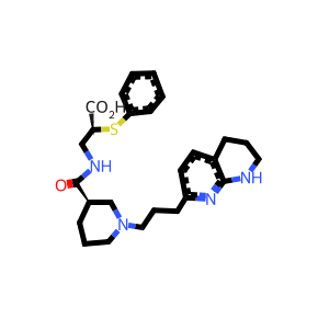 O=C(NC[C@H](Sc1ccccc1)C(=O)O)[C@@H]1CCCN(CCCc2ccc3c(n2)NCCC3)C1